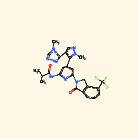 CC(C)C(=O)Nc1cc(-c2c(-c3nncn3C)cnn2C)cc(N2Cc3c(cccc3C(F)(F)F)C2=O)n1